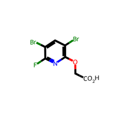 O=C(O)COc1nc(F)c(Br)cc1Br